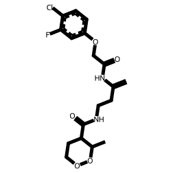 C=C(CCNC(=O)C1CCOOC1C)NC(=O)COc1ccc(Cl)c(F)c1